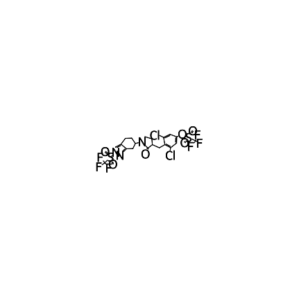 O=C1C(Cc2c(Cl)cc(OS(=O)(=O)C(F)(F)F)cc2Cl)CCN1C1CCc2cn(S(=O)(=O)C(F)(F)F)nc2C1